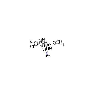 CCOCCOc1cc2ncnc(Nc3ccc(F)c(Cl)c3)c2cc1NC(=O)/C=C/Br